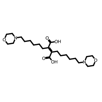 O=C(O)/C(CCCCCCN1CCOCC1)=C(\CCCCCCN1CCOCC1)C(=O)O